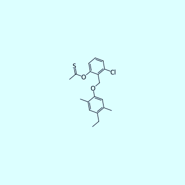 CCc1cc(C)c(OCc2c(Cl)cccc2OC(C)=S)cc1C